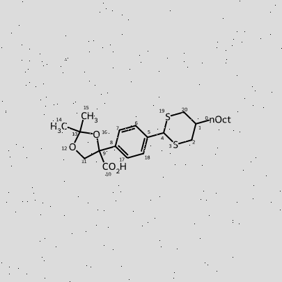 CCCCCCCCC1CSC(c2ccc(C3(C(=O)O)COC(C)(C)O3)cc2)SC1